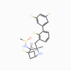 C[S+]([O-])N[C@@H]1[C@H](Cc2cccc(-c3cc(F)cc(F)c3)c2F)NC2CC1(F)C2